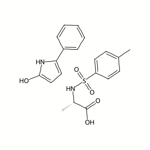 Cc1ccc(S(=O)(=O)N[C@@H](C)C(=O)O)cc1.Oc1ccc(-c2ccccc2)[nH]1